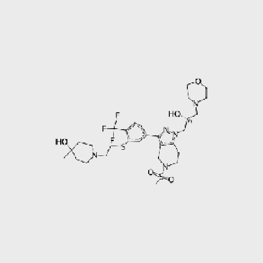 CC1(O)CCN(CCSc2cc(-c3nn(C[C@H](O)CN4CCOCC4)c4c3CN(S(C)(=O)=O)CC4)ccc2C(F)(F)F)CC1